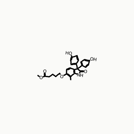 COC(=O)CCCCOc1ccc2c(c1C)NC(=O)C2(c1ccc(O)cc1)c1ccc(O)cc1